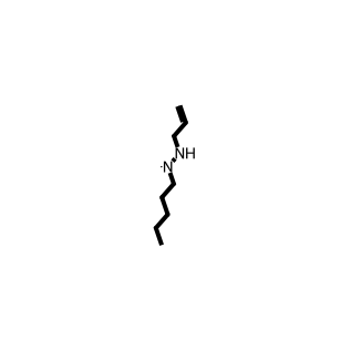 C=CCN[N]CCCCC